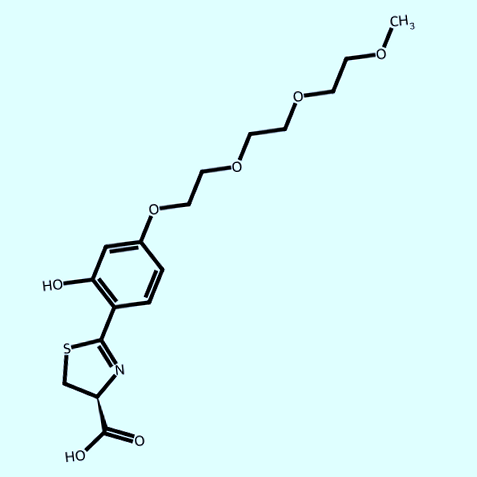 COCCOCCOCCOc1ccc(C2=N[C@@H](C(=O)O)CS2)c(O)c1